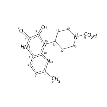 Cc1ccc2[nH]c(=O)c(=O)n(C3CCN(C(=O)O)CC3)c2n1